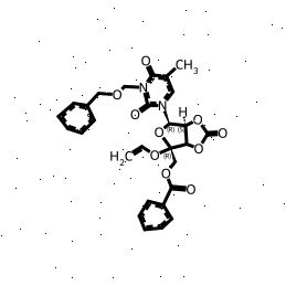 C=CO[C@]1(COC(=O)c2ccccc2)O[C@@H](n2cc(C)c(=O)n(COCc3ccccc3)c2=O)[C@H]2OC(=O)OC21